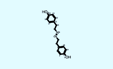 Oc1ccc(CCN=NCCc2ccc(O)cc2)cc1